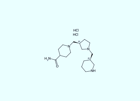 Cl.Cl.NC(=O)C1CCN(C[C@H]2CCN(C[C@@H]3CCCNC3)C2)CC1